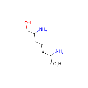 NC(CO)C/C=C/C(N)C(=O)O